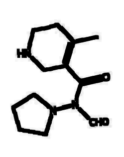 CC1=C(C(=O)N(C=O)N2CCCC2)CNCC1